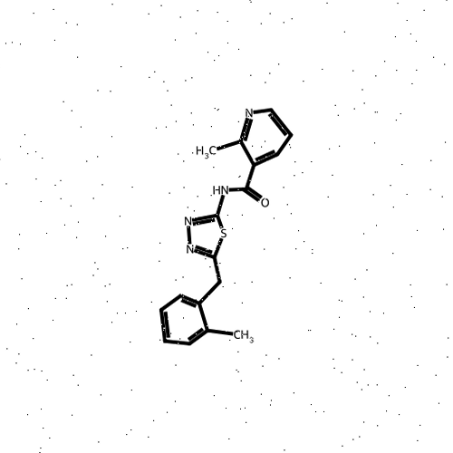 Cc1ccccc1Cc1nnc(NC(=O)c2cccnc2C)s1